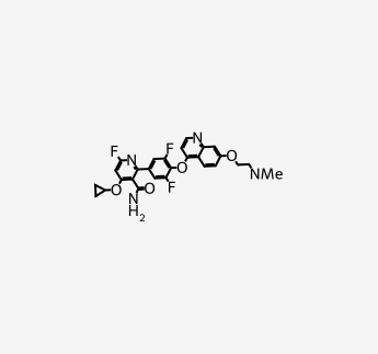 CNCCOc1ccc2c(Oc3c(F)cc(-c4nc(F)cc(OC5CC5)c4C(N)=O)cc3F)ccnc2c1